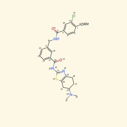 COc1ccc(C(=O)NCc2cccc(C(=O)Nc3nc4c(s3)CC(N(C)C)CC4)c2)cc1Cl